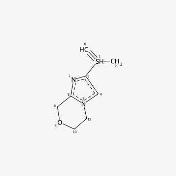 C#[SH](C)c1cn2c(n1)COCC2